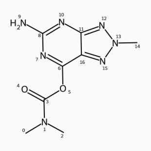 CN(C)C(=O)Oc1nc(N)nc2nn(C)nc12